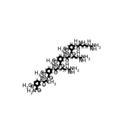 COc1ccc(NC(=O)[C@@H](C)NC(=O)c2cc(NC(=O)[C@@H](CCCNC(=N)N)NC(=O)c3cc(NC(=O)[C@@H](CCCNC(=N)N)NC(=O)c4cc(NC(=O)[C@H](N)CCCNC(=N)N)ccc4OC)ccc3OC)ccc2OC)cc1C(N)=O